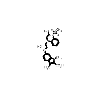 Cc1c(C(=O)O)n(C)c2cc(OCCN(CCO)c3ccccc3NS(C)(=O)=O)ccc12.Cl